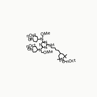 CCCCCCCCON1CCC(N(COC)c2nc(NCCCCC3CC(C)(C)N(OCCCCCCCC)C(C)(C)C3)nc(N(COC)C3CCN(OCCCCCCCC)CC3)n2)CC1